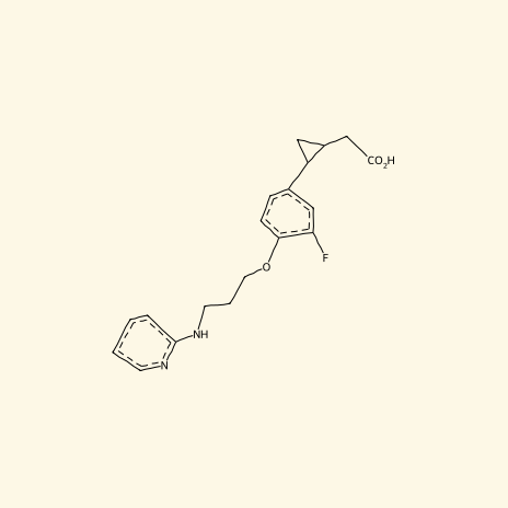 O=C(O)CC1CC1c1ccc(OCCCNc2ccccn2)c(F)c1